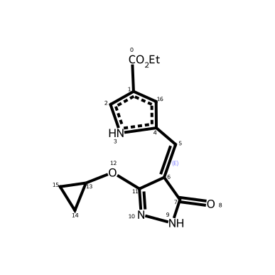 CCOC(=O)c1c[nH]c(/C=C2/C(=O)NN=C2OC2CC2)c1